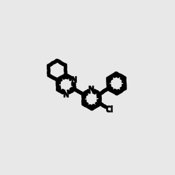 Clc1ccc(-c2ncc3c(n2)CCCC3)nc1-c1ccccc1